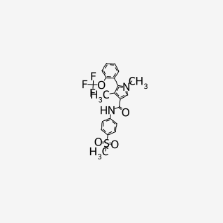 Cc1c(C(=O)Nc2ccc(S(C)(=O)=O)cc2)cn(C)c1-c1ccccc1OC(F)(F)F